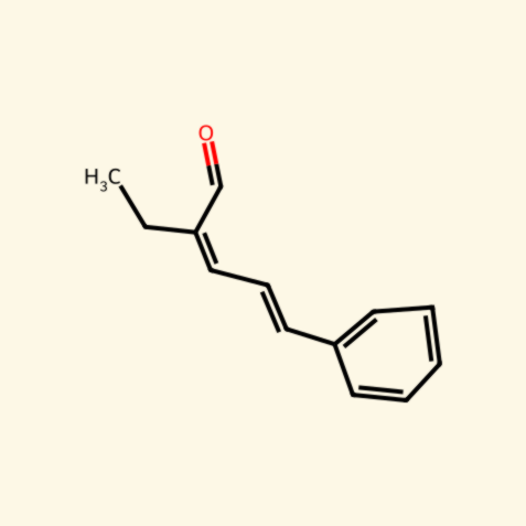 CCC(C=O)=CC=Cc1ccccc1